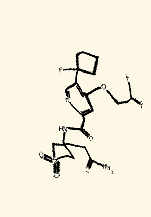 NC(=O)CC1(NC(=O)c2cc(OCC(F)F)c(C3(F)CCC3)cn2)CS(=O)(=O)C1